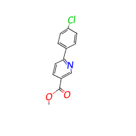 COC(=O)c1ccc(-c2ccc(Cl)cc2)nc1